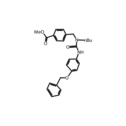 CCCCN(Cc1ccc(C(=O)OC)cc1)C(=O)Nc1ccc(OCc2ccccc2)cc1